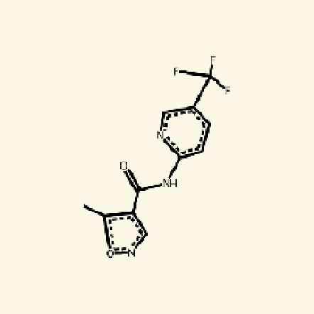 Cc1oncc1C(=O)Nc1ccc(C(F)(F)F)cn1